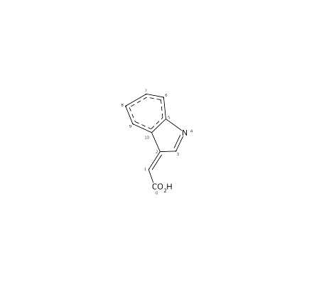 O=C(O)/C=C1\C=Nc2ccccc21